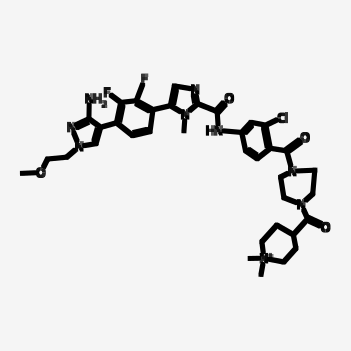 COCCn1cc(-c2ccc(-c3cnc(C(=O)Nc4ccc(C(=O)N5CCN(C(=O)C6CC[N+](C)(C)CC6)CC5)c(Cl)c4)n3C)c(F)c2F)c(N)n1